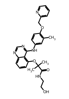 Cc1cc(Nc2ncnc3cccc(OC(C)(C)C(=O)NCCO)c23)ccc1OCc1ccccn1